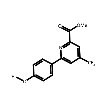 CCOc1ccc(-c2cc(C(F)(F)F)cc(C(=O)OC)n2)cc1